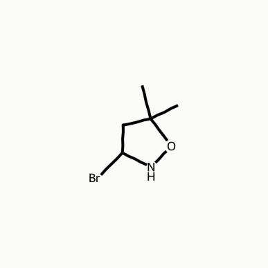 CC1(C)CC(Br)NO1